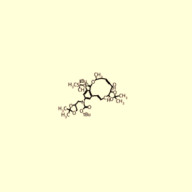 C[C@H]1C/C=C\C(=O)[C@H]2OC(C)(C)O[C@H]2C/C=C/c2cc(N(CC3COC(C)(C)O3)C(=O)OC(C)(C)C)cc(O[Si](C)(C)C(C)(C)C)c2C(=O)O1